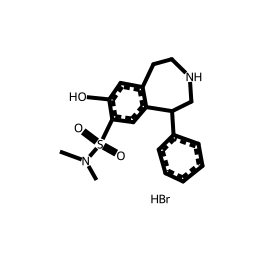 Br.CN(C)S(=O)(=O)c1cc2c(cc1O)CCNCC2c1ccccc1